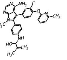 C=C(C)C(O)Nc1ccc(-c2c(-c3ccc(Oc4cccc(C)n4)c(F)c3)c3c(N)ncnc3n2C)cc1